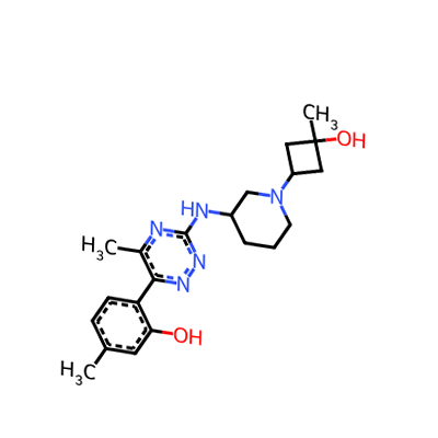 Cc1ccc(-c2nnc(NC3CCCN(C4CC(C)(O)C4)C3)nc2C)c(O)c1